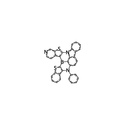 c1ccc(N2c3ccc4c5ccccc5n5c4c3B(c3sc4ccccc4c32)c2c-5sc3cnccc23)cc1